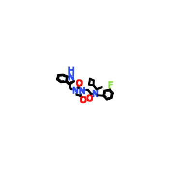 CC(C1CCC1)N(Cc1cccc(F)c1)C(=O)CN1C(=O)CN(Cc2c[nH]c3ccccc23)C1=O